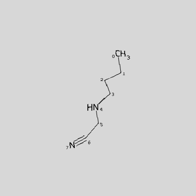 CCCCNCC#N